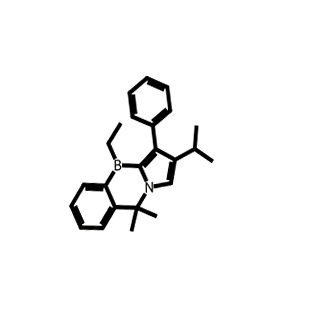 CCB1c2ccccc2C(C)(C)n2cc(C(C)C)c(-c3ccccc3)c21